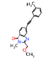 COCc1nc2cc(C#Cc3cccc(C)c3)ccc2c(=O)n1C